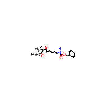 COC(=O)C(C)C(=O)CCCCCNC(=O)OCc1ccccc1